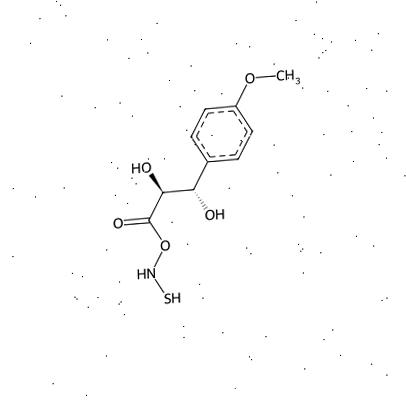 COc1ccc([C@H](O)[C@H](O)C(=O)ONS)cc1